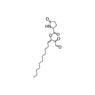 CCCCCCCCCCC=C(OC(=O)C1CCC(=O)N1)C(=O)C=O